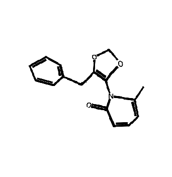 Cc1cccc(=O)n1C1=C(Cc2ccccc2)OCO1